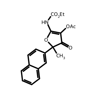 CCOC(=O)NC1=C(OC(C)=O)C(=O)C(C)(c2ccc3ccccc3c2)O1